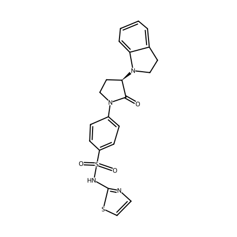 O=C1[C@H](N2CCc3ccccc32)CCN1c1ccc(S(=O)(=O)Nc2nccs2)cc1